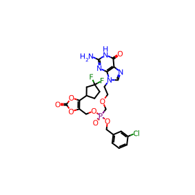 Nc1nc2c(ncn2CCOCP(=O)(OCc2cccc(Cl)c2)OCc2oc(=O)oc2C2CCC(F)(F)C2)c(=O)[nH]1